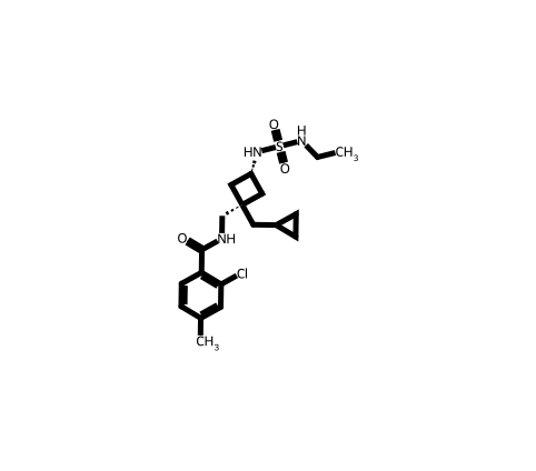 CCNS(=O)(=O)N[C@H]1C[C@](CNC(=O)c2ccc(C)cc2Cl)(CC2CC2)C1